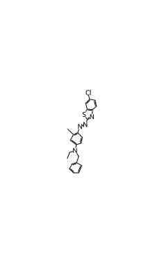 CCN(Cc1ccccc1)c1ccc(N=Nc2nc3ccc(Cl)cc3s2)c(C)c1